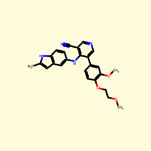 COCCOc1ccc(-c2cncc(C#N)c2Nc2ccc3[nH]c(C)cc3c2)cc1OC